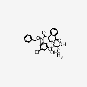 C[C@H](O)[C@H](CO)N1C(=O)c2ccccc2[C@H](C(=O)NOCc2ccccc2)[C@H]1c1ccc(Cl)cc1Cl